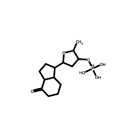 CC1OC(C2CCC3C(=O)CCCC32)CC1O[PH](O)(O)O